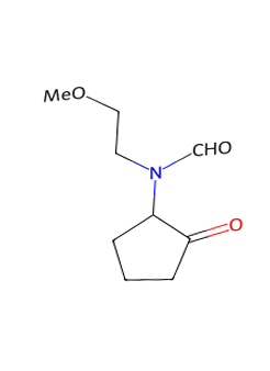 COCCN(C=O)C1CCCC1=O